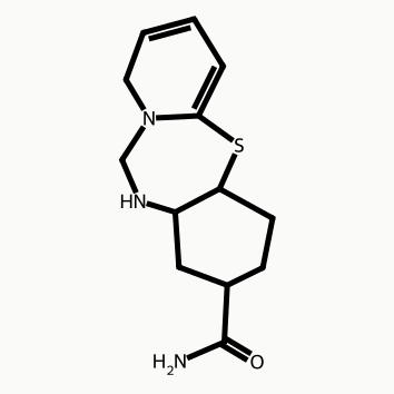 NC(=O)C1CCC2SC3=CC=CCN3CNC2C1